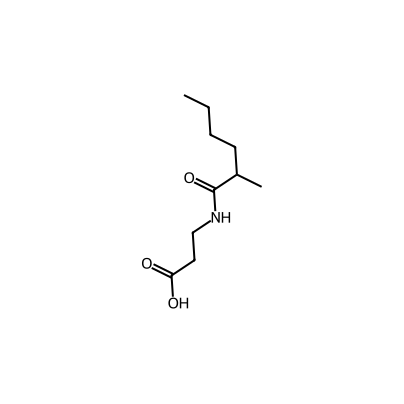 CCCCC(C)C(=O)NCCC(=O)O